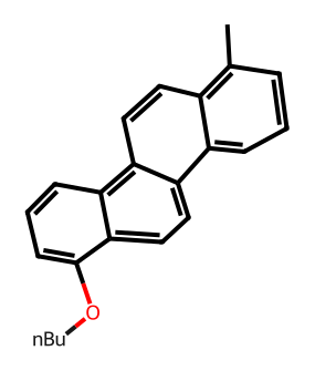 CCCCOc1cccc2c1ccc1c3cccc(C)c3ccc21